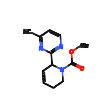 CC(C)(C)OC(=O)N1CCC=CC1c1nccc(C#N)n1